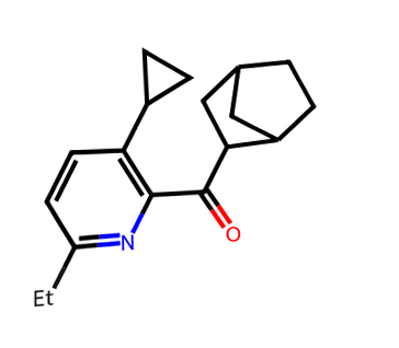 CCc1ccc(C2CC2)c(C(=O)C2CC3CCC2C3)n1